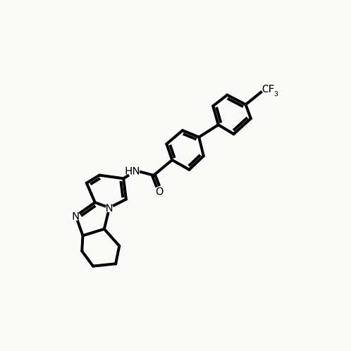 O=C(NC1=CN2C(=NC3CCCCC32)C=C1)c1ccc(-c2ccc(C(F)(F)F)cc2)cc1